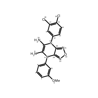 COc1cccc(N2C(N)=C(N)N(c3ccc(Cl)c(Cl)c3)c3nonc32)c1